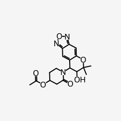 CC(=O)OC1CCN(C2c3cc4nonc4cc3OC(C)(C)C2O)C(=O)C1